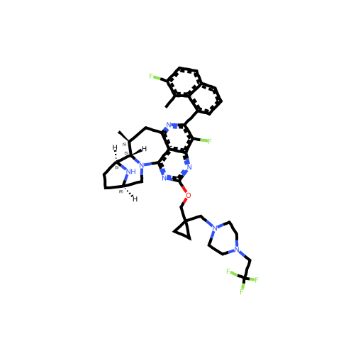 Cc1c(F)ccc2cccc(-c3nc4c5c(nc(OCC6(CN7CCN(CC(F)(F)F)CC7)CC6)nc5c3F)N3C[C@H]5CC[C@H](N5)[C@@H]3[C@@H](C)C4)c12